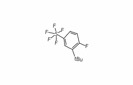 CC(C)(C)c1cc(S(F)(F)(F)(F)F)ccc1F